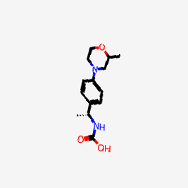 CC1CN(c2ccc([C@@H](C)NC(=O)O)cc2)CCO1